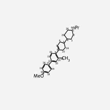 CCCC1CCC(C2CC=C(c3ccc(-c4ccc(OC)cc4)cc3C)CC2)CC1